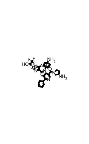 Nc1ccc(-n2c(-c3nonc3N)nc3c(-c4ccccc4)ncc(C(=O)N4CCC(N)C4)c32)cc1.O=C(O)C(F)(F)F